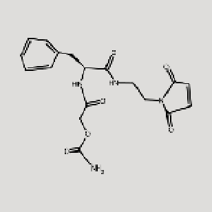 NC(=O)OCC(=O)N[C@@H](Cc1ccccc1)C(=O)NCCN1C(=O)C=CC1=O